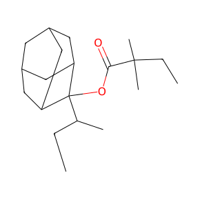 CCC(C)C1(OC(=O)C(C)(C)CC)C2CC3CC(C2)CC1C3